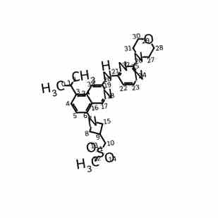 CC(C)c1ccc(N2CC(CS(C)(=O)=O)C2)c2cnc(Nc3ccnc(N4CCOCC4)n3)cc12